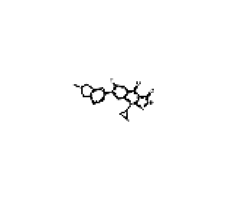 CN1Cc2ccc(-c3cc4c(cc3F)c(=O)c3c(=O)[nH]sc3n4C3CC3)cc2C1